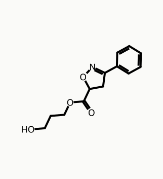 O=C(OCCCO)C1CC(c2ccccc2)=NO1